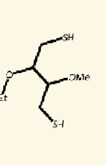 CCOC(CS)C(CS)OC